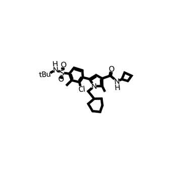 Cc1c(S(=O)(=O)NC(C)(C)C)ccc(-c2cc(C(=O)NC3CCC3)c(C)n2CC2CCCCC2)c1Cl